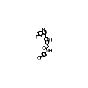 O=C(CC1CC2CC(c3ccnc4ccc(F)cc34)=C[C@H]2C1)Nc1ccc(Cl)cc1